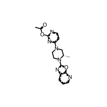 CC(=O)Oc1nccc(N2CCN(c3nc4cccnc4o3)[C@@H](C)C2)n1